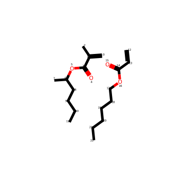 C=C(C)C(=O)OC(C)CCCC.C=CC(=O)OCCCCCC